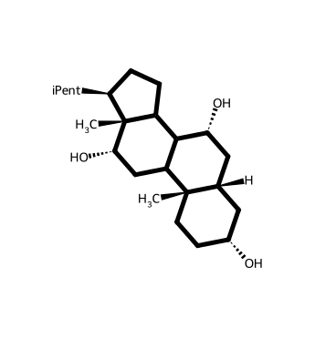 CCCC(C)[C@H]1CCC2C3C(C[C@H](O)[C@@]21C)[C@@]1(C)CC[C@@H](O)C[C@H]1C[C@H]3O